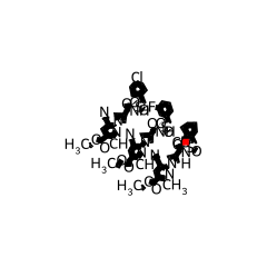 CCOC(=O)c1cc(C#N)c(N2CC(C(=O)NS(=O)(=O)Cc3ccc(Cl)cc3)C2)nc1C.CCOC(=O)c1cc(C#N)c(N2CC(C(=O)NS(=O)(=O)Cc3cccc(F)c3)C2)nc1C.CCOC(=O)c1cc(C#N)c(N2CC(C(=O)NS(=O)(=O)Cc3ccccc3Cl)C2)nc1C